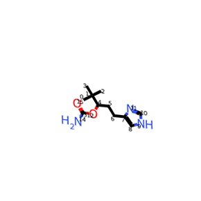 CC(C)(C)C(CCc1c[nH]cn1)OC(N)=O